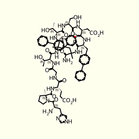 C[C@@H](O)[C@H](NC(=O)CNC(=O)[C@H](CCC(=O)O)NC(=O)[C@]1(C)CCCN1C(=O)[C@@H](N)Cc1c[nH]cn1)C(=O)NC(C)(Cc1ccccc1F)C(=O)N[C@H](C(=O)N[C@@H](CO)C(=O)N[C@@H](CC(=O)O)C(=O)N[C@@H](Cc1ccc(-c2ccccc2)cc1)C(=O)NC(C)(Cc1ccc(-c2ccccc2)cc1)C(N)=O)[C@@H](C)O